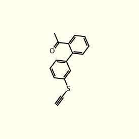 C#CSc1cccc(-c2ccccc2C(C)=O)c1